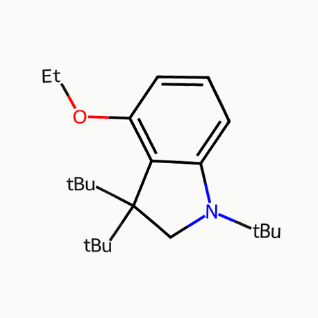 CCOc1cccc2c1C(C(C)(C)C)(C(C)(C)C)CN2C(C)(C)C